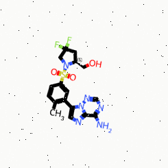 Cc1ccc(S(=O)(=O)N2CC(F)(F)C[C@H]2CO)cc1-c1cnc2c(N)ncnn12